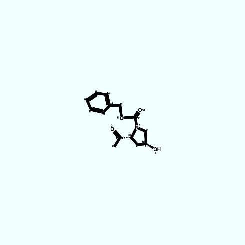 CC(=O)[C@H]1C[C@H](O)CN1C(=O)OCc1ccccc1